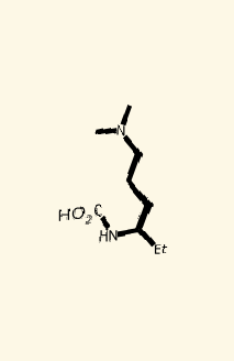 CCC(CCCN(C)C)NC(=O)O